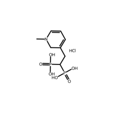 CN1C=CC=C(CC(P(=O)(O)O)P(=O)(O)O)C1.Cl